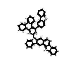 c1ccc2c(c1)sc1ccc(-c3nc(-n4c5ccccc5c5cc6c(ccc7c8ccccc8sc67)cc54)nc4c5ccccc5c5ccccc5c34)cc12